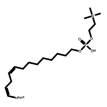 CCCCC/C=C\C/C=C\CCCCCCCCOP(=O)(O)OCC[N+](C)(C)C